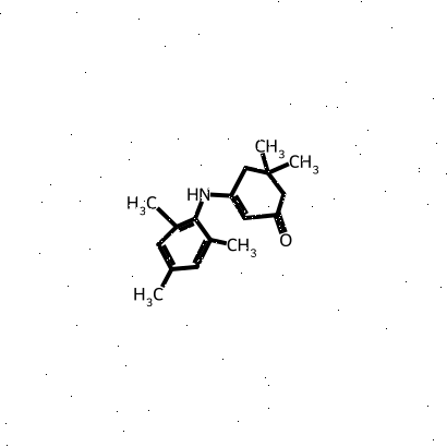 Cc1cc(C)c(NC2=CC(=O)CC(C)(C)C2)c(C)c1